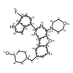 [O-][S+]1CCN(Cc2cnc3oc4c(N5CCOCC5)nc(-c5ccc(F)c6[nH]ccc56)nc4c3c2)CC1